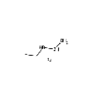 BBBCC.[Ru]